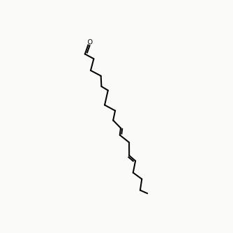 CCCCC=CCC=CCCCCCCCCC=O